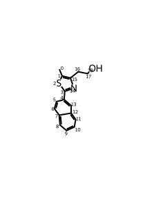 Cc1sc(-c2ccc3ccccc3c2)nc1CCO